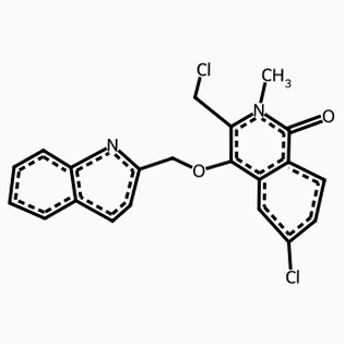 Cn1c(CCl)c(OCc2ccc3ccccc3n2)c2cc(Cl)ccc2c1=O